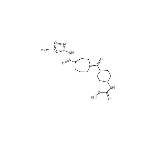 CC(C)(C)OC(=O)NC1CCC(C(=O)N2CCCN(C(=O)Nc3cc(C(C)(C)C)on3)CC2)CC1